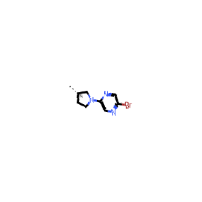 C[C@H]1CCN(c2cnc(Br)cn2)C1